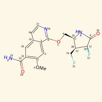 COc1cc2c(OC[C@H]3NC(=O)[C@@H](F)[C@H]3CF)nccc2cc1C(N)=O